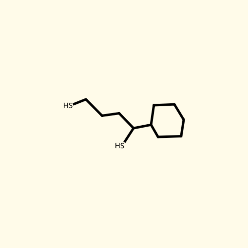 SCCCC(S)C1CCCCC1